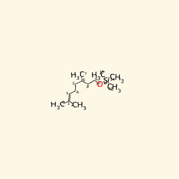 CC(C)=CCCC(C)CCO[Si](C)(C)C